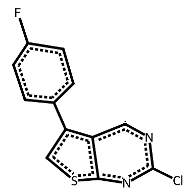 Fc1ccc(-c2csc3nc(Cl)n[c]c23)cc1